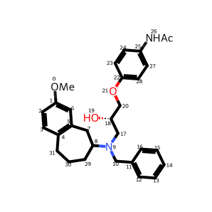 COc1ccc2c(c1)CC(N(Cc1ccccc1)C[C@H](O)COc1ccc(NC(C)=O)cc1)CCC2